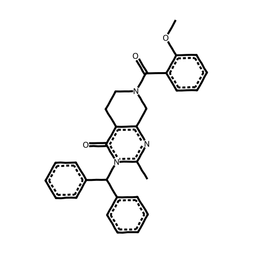 COc1ccccc1C(=O)N1CCc2c(nc(C)n(C(c3ccccc3)c3ccccc3)c2=O)C1